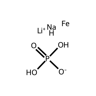 O=P([O-])(O)O.[Fe].[Li+].[NaH]